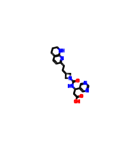 O=C(O)CC(NC(=O)N1CC(CCc2ccc3c(n2)NCCC3)C1)c1cncnc1